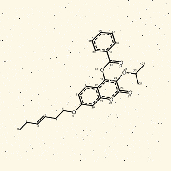 CCC=CCCOc1ccc2c(OC(=O)c3ccccc3)c(OC(C)C)c(=O)oc2c1